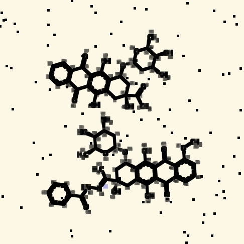 CC(=O)[C@]1(O)Cc2c(O)c3c(c(O)c2[C@@H](O[C@H]2C[C@H](N)[C@H](O)[C@H](C)O2)C1)C(=O)c1ccccc1C3=O.COc1cccc2c1C(=O)c1c(O)c3c(c(O)c1C2=O)C[C@@](O)(/C(C)=N/NC(=O)c1ccccc1)C[C@@H]3O[C@H]1C[C@H](N)[C@H](O)[C@H](C)O1